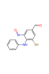 O=Cc1cc(S)c(Nc2ccccc2)c(N=O)c1